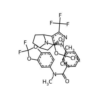 CN(C(=O)c1cccc(-n2nc(C(F)(F)F)c3c2CC2CCC3N2C(=O)OC(C)(C)C)c1)c1ccc2c(c1)OC(F)(F)O2